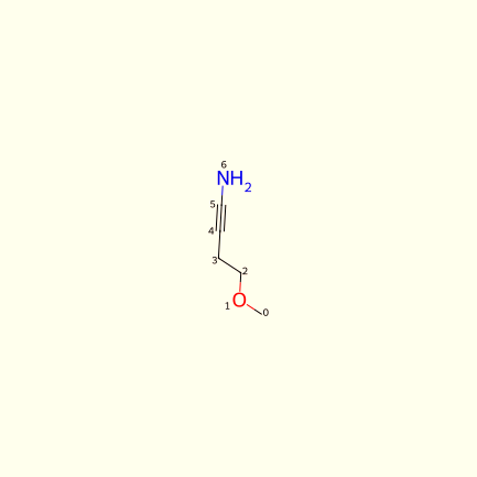 COCCC#CN